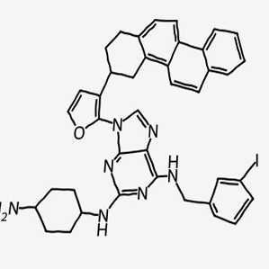 NC1CCC(Nc2nc(NCc3cccc(I)c3)c3ncn(-c4occc4C4CCc5ccc6c(ccc7ccccc76)c5C4)c3n2)CC1